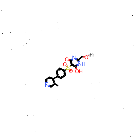 Cc1cnccc1-c1ccc(S(=O)(=O)c2c(O)[nH]c(COC(C)C)nc2=O)cc1